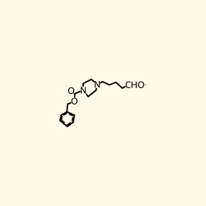 O=[C]CCCCN1CCN(C(=O)OCc2ccccc2)CC1